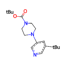 CC(C)(C)OC(=O)N1CCN(c2cncc(C(C)(C)C)c2)CC1